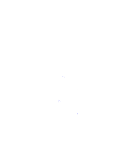 CC1CC(C)CC(N(C(=O)Nc2nccs2)C2CCCC2)C1